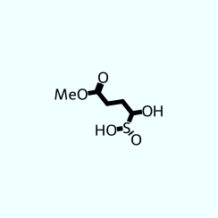 COC(=O)CCC(O)S(=O)O